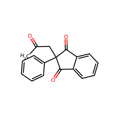 CC(=O)CC1(c2ccccc2)C(=O)c2ccccc2C1=O